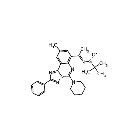 CC(=N[S@+]([O-])C(C)(C)C)c1cc(C)cc2c1nc(N1CCCCC1)n1nc(-c3ccccc3)nc21